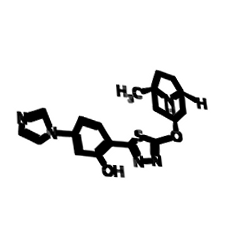 C[C@]12CC[C@H](C[C@@H](Oc3nnc(-c4ccc(-n5ccnc5)cc4O)s3)C1)N2